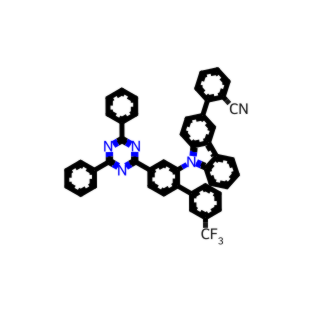 N#Cc1ccccc1-c1ccc2c(c1)c1ccccc1n2-c1cc(-c2nc(-c3ccccc3)nc(-c3ccccc3)n2)ccc1-c1cccc(C(F)(F)F)c1